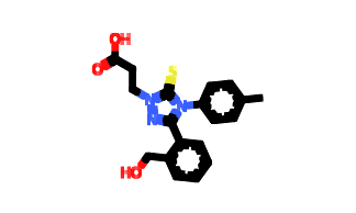 Cc1ccc(-n2c(-c3ccccc3CO)nn(CCC(=O)O)c2=S)cc1